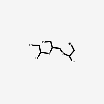 CCC(CS)SCC(CS)SC(CC)CS